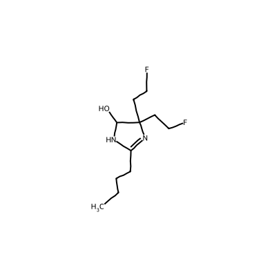 CCCCC1=NC(CCF)(CCF)C(O)N1